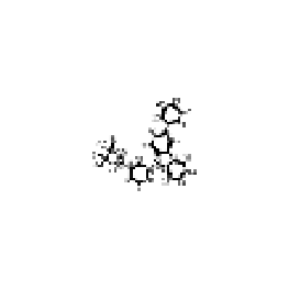 CC1(C)OB(c2cccc(-n3c4ccccc4c4cc(-c5ccccc5)ccc43)c2)OC1(C)C